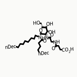 CCCCCCCCCCCCCCCCCCN(C(=O)CCCCCCCCCCCCC)[C@@H]1O[C@H](CO)[C@@H](O)[C@H](O)[C@@H]1NC(=O)CNC(=O)CCC(=O)O